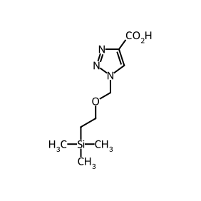 C[Si](C)(C)CCOCn1cc(C(=O)O)nn1